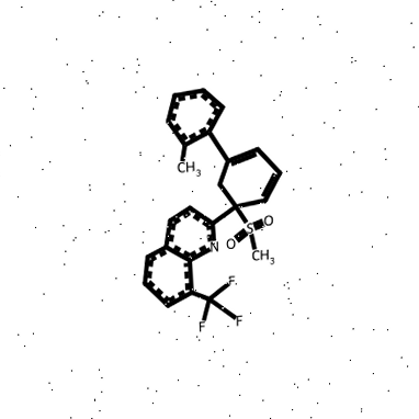 Cc1ccccc1C1=CC=CC(c2ccc3cccc(C(F)(F)F)c3n2)(S(C)(=O)=O)C1